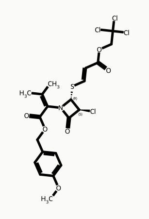 COc1ccc(COC(=O)C(=C(C)C)N2C(=O)[C@H](Cl)[C@H]2SC=CC(=O)OCC(Cl)(Cl)Cl)cc1